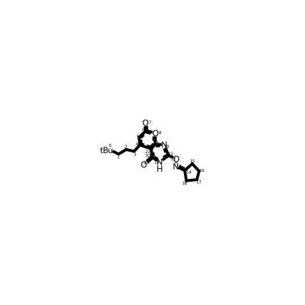 CC(C)(C)CCCc1cc(=O)oc2nc(ON=C3CCCC3)[nH]c(=O)c12